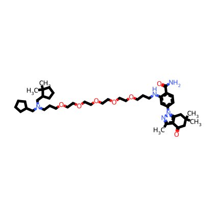 Cc1nn(-c2ccc(C(N)=O)c(NCCCOCCOCCOCCOCCOCCCN(CC3CCCC3)CC3CCCC3(C)C)c2)c2c1C(=O)CC(C)(C)C2